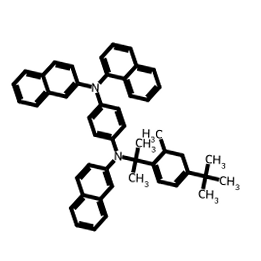 CC1CC(C(C)(C)C)=CC=C1C(C)(C)N(c1ccc(N(c2ccc3ccccc3c2)c2cccc3ccccc23)cc1)c1ccc2ccccc2c1